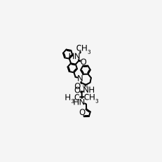 CCNC(=O)c1cc(CN2C(=O)[C@H](NC(=O)C(C)(C)NCc3ccco3)CCc3ccccc32)ccc1-c1ccccc1